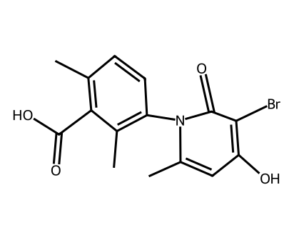 Cc1ccc(-n2c(C)cc(O)c(Br)c2=O)c(C)c1C(=O)O